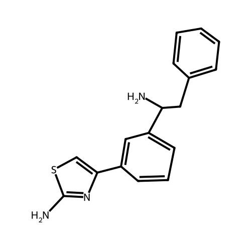 Nc1nc(-c2cccc(C(N)Cc3ccccc3)c2)cs1